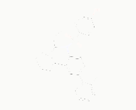 CCC1c2ccccc2-c2cc(-c3ccccc3Cl)ccc2N1S(=O)(=O)c1ccc(O)cc1